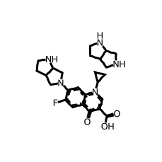 C1CC2CNCC2N1.O=C(O)c1cn(C2CC2)c2cc(N3CC4CCNC4C3)c(F)cc2c1=O